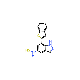 SNc1cc(-c2cc3ccccc3s2)c2[nH]ncc2c1